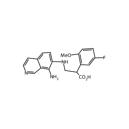 COc1ccc(F)cc1C(CNc1ccc2ccncc2c1N)C(=O)O